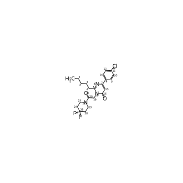 CCCCCc1nc(-c2ccc(Cl)cc2)cc(=O)n1CC(=O)N1CCC(F)(F)CC1